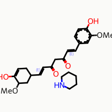 C1CCNCC1.COc1cc(/C=C/C(=O)CC(=O)/C=C/C2CC=C(O)C(OC)C2)ccc1O